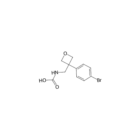 O=C(O)NCC1(c2ccc(Br)cc2)COC1